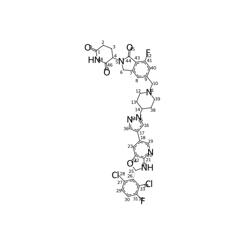 O=C1CCC(N2Cc3cc(CN4CCC(n5cc(-c6cnc7c(c6)O[C@@H](c6c(Cl)ccc(F)c6Cl)N7)cn5)CC4)cc(F)c3C2=O)C(=O)N1